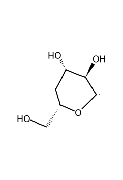 OC[C@@H]1C[C@H](O)[C@@H](O)[CH]O1